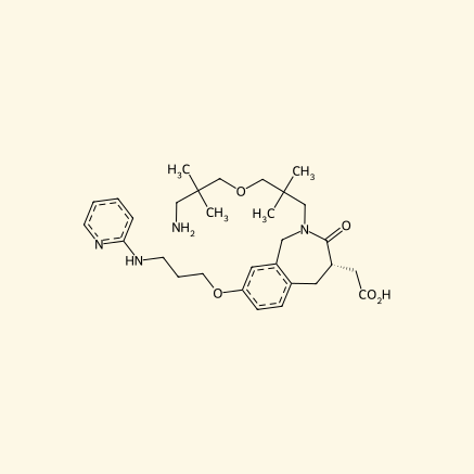 CC(C)(CN)COCC(C)(C)CN1Cc2cc(OCCCNc3ccccn3)ccc2C[C@@H](CC(=O)O)C1=O